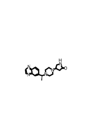 C[C@@H](c1ccc2nccnc2c1)N1CCN(C2CNC(=O)C2)CC1